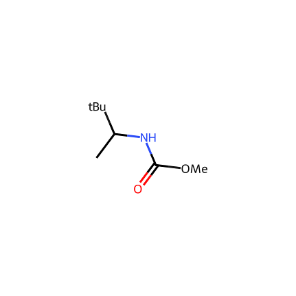 COC(=O)NC(C)C(C)(C)C